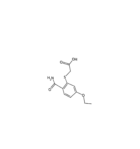 CCOc1ccc(C(N)=O)c(SCC(=O)O)c1